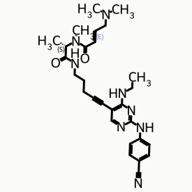 CCNc1nc(Nc2ccc(C#N)cc2)ncc1C#CCCCNC(=O)[C@H](C)N(C)C(=O)/C=C/CN(C)C